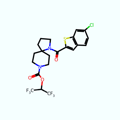 O=C(OC(C(F)(F)F)C(F)(F)F)N1CCC2(CCCN2C(=O)c2cc3ccc(Cl)cc3s2)CC1